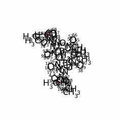 Cc1ccccc1N(c1nc2c3c(n1)N(c1ccccc1)c1cc4c(cc1B3c1cc(C(C)(C)C)n(-c3ccccc3)c1O2)B1c2cc(C(C)(C)C)n(-c3ccccc3)c2Oc2nc(N(c3ccccc3C)c3cccc5c3C(C)(C)CCC5(C)C)nc(c21)N4c1ccccc1)c1cccc2c1C(C)(C)CCC2(C)C